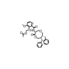 COc1ccnc(C(=O)N[C@H]2COC[C@H](Cc3ccccc3)[C@@H](Cc3ccccc3)[C@H](C)OC2=O)c1OCOC(C)=O